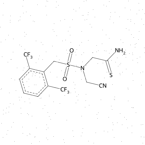 N#CCN(CC(N)=S)S(=O)(=O)Cc1c(C(F)(F)F)cccc1C(F)(F)F